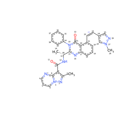 Cc1nn2cccnc2c1C(=O)N[C@H](C)c1nc2cccc(/C=C\c3cnn(C)c3)c2c(=O)n1-c1ccccc1